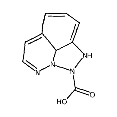 O=C(O)N1NC2=CC=CC3=CC=NN1C32